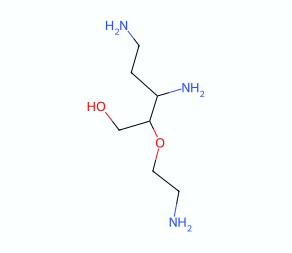 NCCOC(CO)C(N)CCN